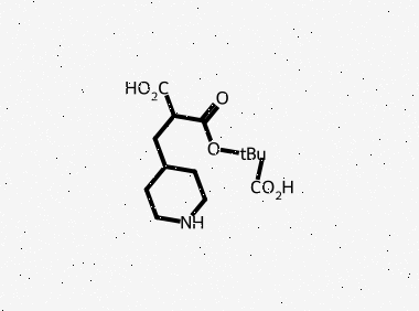 CC(=O)O.CC(C)(C)OC(=O)C(CC1CCNCC1)C(=O)O